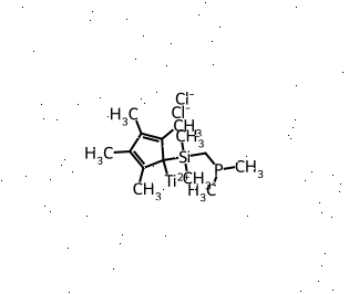 CC1=C(C)[C]([Ti+2])([Si](C)(C)CP(C)C)C(C)=C1C.[Cl-].[Cl-]